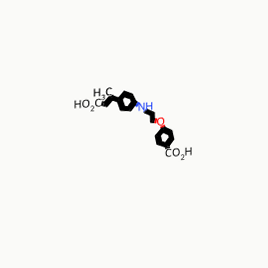 CC(=CC(=O)O)c1ccc(NCCCOc2ccc(C(=O)O)cc2)cc1